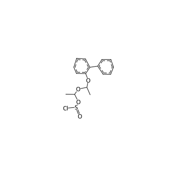 CC(Oc1ccccc1-c1ccccc1)OC(C)OS(=O)Cl